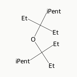 CCCC(C)C(CC)(CC)OC(CC)(CC)C(C)CCC